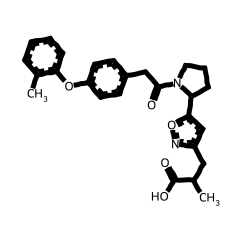 Cc1ccccc1Oc1ccc(CC(=O)N2CCCC2c2cc(CC(C)C(=O)O)no2)cc1